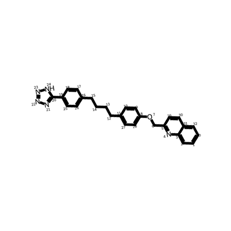 c1ccc2nc(COc3ccc(CCCCc4ccc(-c5nnn[nH]5)cc4)cc3)ccc2c1